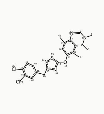 CCN(C)/C=N\c1cc(C)c(Oc2nc(Cc3ccc(Cl)c(Cl)c3)ns2)cc1C